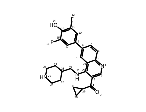 O=C(c1cnc2ccc(-c3cc(F)c(O)c(F)c3)cc2c1NCC1CCNCC1)C1CC1